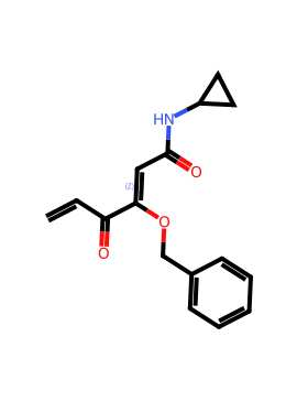 C=CC(=O)/C(=C/C(=O)NC1CC1)OCc1ccccc1